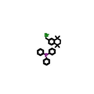 CC1(C)CCC(C)(C)c2cc(CBr)ccc21.c1ccc(P(c2ccccc2)c2ccccc2)cc1